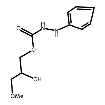 COCC(O)COC(=O)NNc1ccccc1